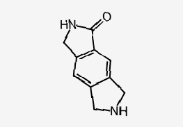 O=C1NCc2cc3c(cc21)CNC3